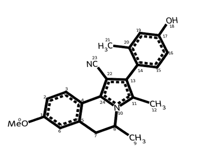 COc1ccc2c(c1)CC(C)n1c(C)c(-c3ccc(O)cc3C)c(C#N)c1-2